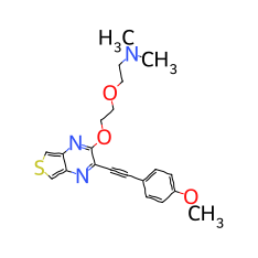 COc1ccc(C#Cc2nc3cscc3nc2OCCOCCN(C)C)cc1